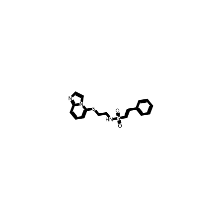 O=S(=O)(C=Cc1ccccc1)NCCSc1cccc2nccn12